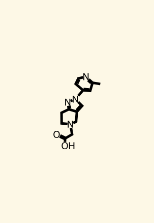 Cc1cc(-n2cc3c(n2)CCN(CC(=O)O)C3)ccn1